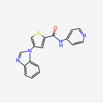 O=C(Nc1ccncc1)c1cc(-n2cnc3ccccc32)cs1